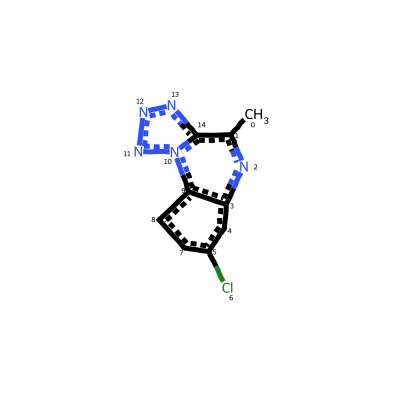 Cc1nc2cc(Cl)ccc2n2nnnc12